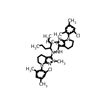 CCCC(CCC)N(Nc1c2c(nn1C)N(c1c(C)cc(C)cc1Cl)CCC2)c1c2c(nn1C)N(c1c(C)cc(C)cc1Cl)CCC2